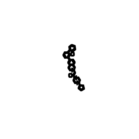 O=C(CN1CCc2cc(-c3cccc4c3oc3ccccc34)ccc2C1)N1CCN(C2CCCC2)CC1